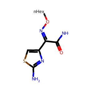 CCCCCCON=C(C([NH])=O)c1csc(N)n1